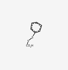 O=C(O)SSc1ccccc1